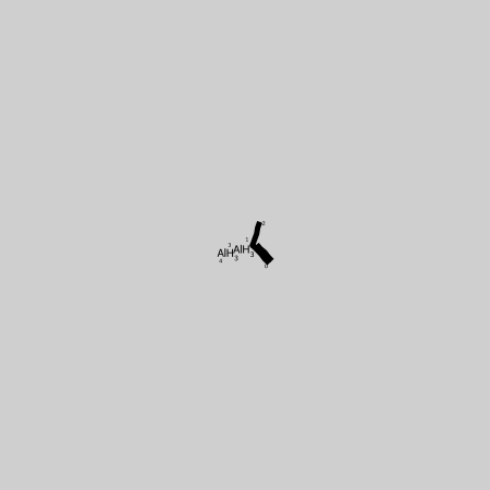 C=CC.[AlH3].[AlH3]